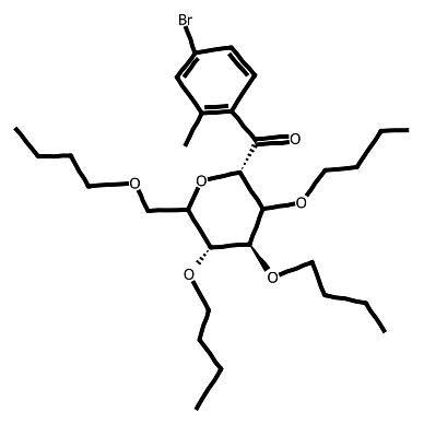 CCCCOCC1O[C@H](C(=O)c2ccc(Br)cc2C)C(OCCCC)[C@@H](OCCCC)[C@@H]1OCCCC